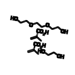 C=C(C)C(=O)O.C=C(C)C(=O)O.OCCO.OCCOCCOCCO